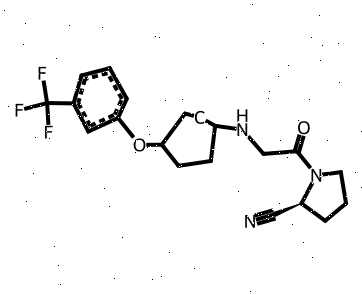 N#C[C@@H]1CCCN1C(=O)CNC1CCC(Oc2cccc(C(F)(F)F)c2)CC1